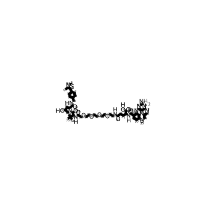 Cc1ncsc1-c1ccc(CNC(=O)C2C[C@@H](O)CN2C(=O)C(NC(=O)COCCOCCOCCOCCNC(=O)CCC(NC(=O)c2ccc(N(C)Cc3cnc4nc(N)nc(N)c4n3)cc2)C(=O)O)C(C)(C)C)cc1